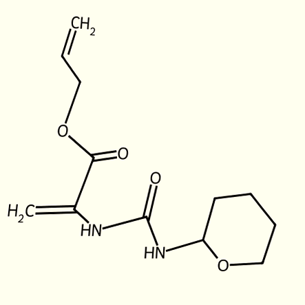 C=CCOC(=O)C(=C)NC(=O)NC1CCCCO1